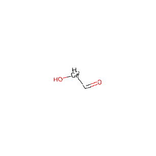 O=[CH][GeH2][OH]